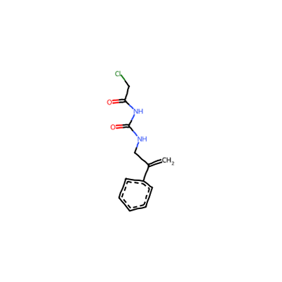 C=C(CNC(=O)NC(=O)CCl)c1ccccc1